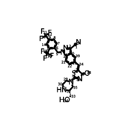 N#Cc1nn(Cc2ccc(C(F)(F)F)cc2C(F)(F)F)c2ccc(/C=C3\SC(N4CCN[C@@H](CO)C4)=NC3=O)cc12